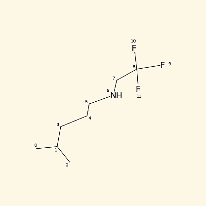 CC(C)CCCNCC(F)(F)F